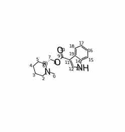 CN1CCCC[C@@H]1COC(=O)c1c[nH]c2ccccc12